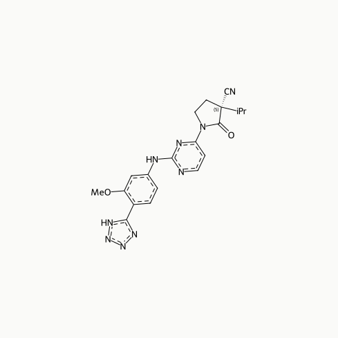 COc1cc(Nc2nccc(N3CC[C@@](C#N)(C(C)C)C3=O)n2)ccc1-c1nnn[nH]1